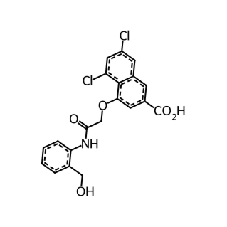 O=C(COc1cc(C(=O)O)cc2cc(Cl)cc(Cl)c12)Nc1ccccc1CO